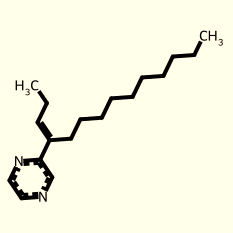 CCC=C(CCCCCCCCCC)c1cnccn1